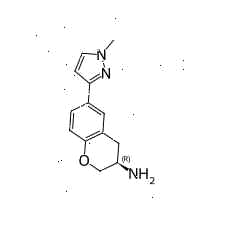 Cn1ccc(-c2ccc3c(c2)C[C@@H](N)CO3)n1